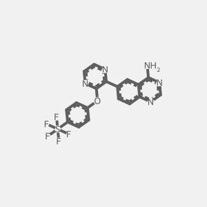 Nc1ncnc2ccc(-c3nccnc3Oc3ccc(S(F)(F)(F)(F)F)cc3)cc12